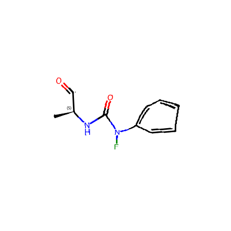 C[C@@H]([C]=O)NC(=O)N(F)c1ccccc1